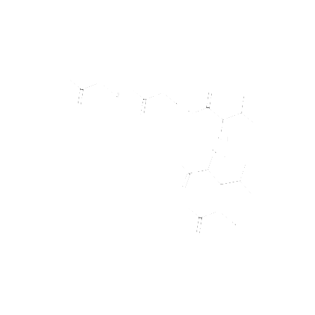 CC(C)C(N)C(=O)O.CC(C)CC(N)C(=O)O.NCC(=O)O.NCC(=O)O.NCC(=O)O